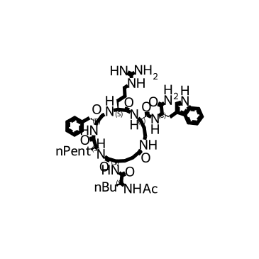 CCCCC[C@@H]1NC(=O)[C@@H](NC(=O)[C@H](CCCC)NC(C)=O)CCC(=O)NCC[C@@H](C(=O)N[C@@H](Cc2c[nH]c3ccccc23)C(N)=O)NC(=O)[C@H](CCCNC(=N)N)NC(=O)[C@@H](Cc2ccccc2)NC1=O